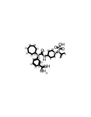 CC(C)N(N1CCC(NC(=O)N(c2cccc(C(=N)N)c2)C2CCCCCC2)CC1)S(=O)(=O)O